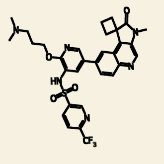 CN(C)CCCOc1ncc(-c2ccc3ncc4c(c3c2)C2(CCC2)C(=O)N4C)cc1NS(=O)(=O)c1ccc(C(F)(F)F)nc1